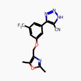 Cc1nc(COc2cc(-c3nn[nH]c3C#N)cc(C(F)(F)F)c2)c(C)o1